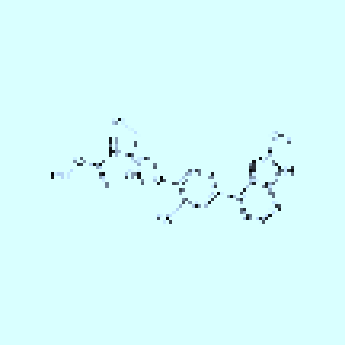 Cc1cc2c(-c3ccc(OC[C@](C)(CC(C)C)NC(=O)OC(C)(C)C)c(C(F)(F)F)c3)ccnc2[nH]1